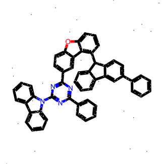 c1ccc(-c2ccc3c(c2)-c2ccccc2C3c2cccc3oc4ccc(-c5nc(-c6ccccc6)nc(-n6c7ccccc7c7ccccc76)n5)cc4c23)cc1